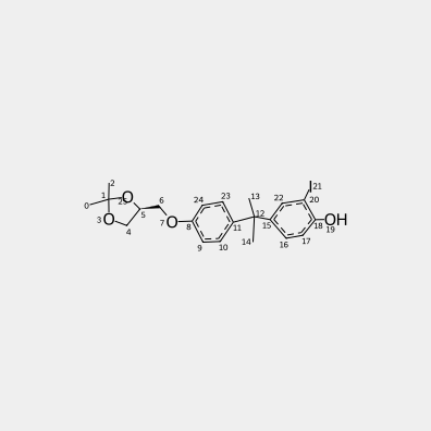 CC1(C)OC[C@H](COc2ccc(C(C)(C)c3ccc(O)c(I)c3)cc2)O1